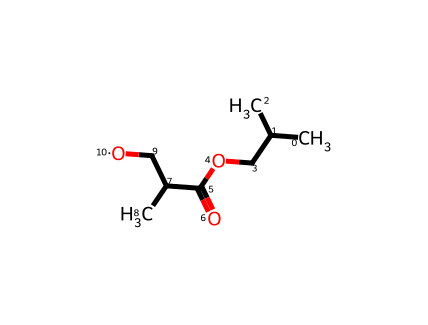 CC(C)COC(=O)C(C)C[O]